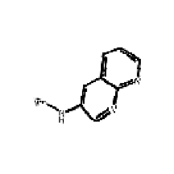 CC(C)Nc1cnc2ncccc2c1